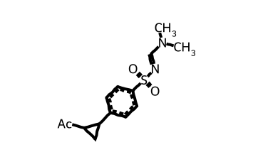 CC(=O)C1CC1c1ccc(S(=O)(=O)/N=C/N(C)C)cc1